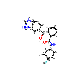 Cc1cc(NC(=O)c2ccccc2C(=O)c2ccc3n[c][nH]c3c2)ccc1F